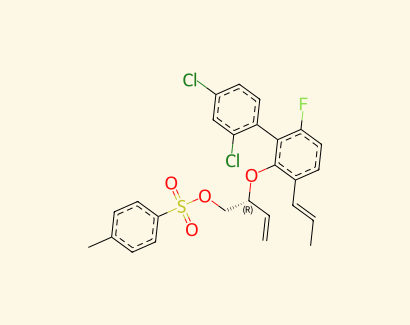 C=C[C@H](COS(=O)(=O)c1ccc(C)cc1)Oc1c(C=CC)ccc(F)c1-c1ccc(Cl)cc1Cl